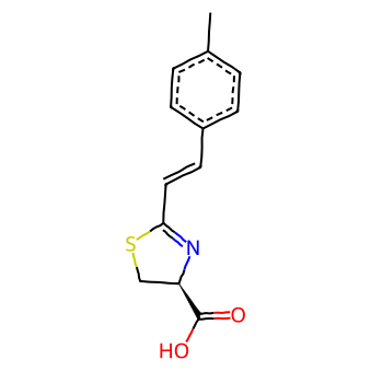 Cc1ccc(/C=C/C2=N[C@@H](C(=O)O)CS2)cc1